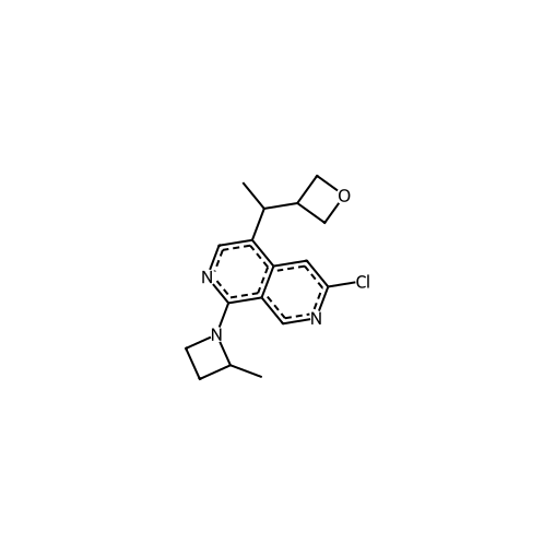 CC(c1cnc(N2CCC2C)c2cnc(Cl)cc12)C1COC1